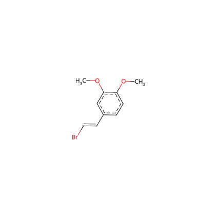 COc1ccc(C=CBr)cc1OC